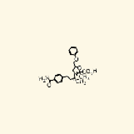 C[C@@H](CCc1ccc(C(N)=O)cc1)N1CC(COc2ccccc2)OC1(C)C(=O)O